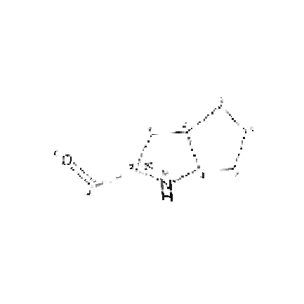 O=C[C@@H]1CC2CCCC2N1